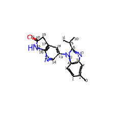 Cc1ccc2c(c1)nc(C(C)C)n2-c1cnc2c(c1)CC(=O)N2